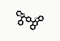 c1ccc(-c2c(-c3ccc(-c4c5ccccc5cc5c4oc4ccccc45)cc3)nc3ccccn23)cc1